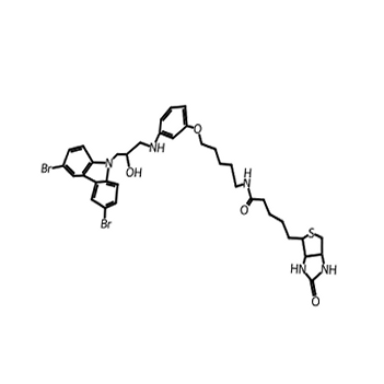 O=C(CCCCC1SCC2NC(=O)NC21)NCCCCCOc1cccc(NCC(O)Cn2c3ccc(Br)cc3c3cc(Br)ccc32)c1